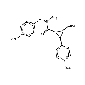 COc1ccc(CN(C)C(=O)C2C(C=O)C2c2ccc(OC)cc2)cc1